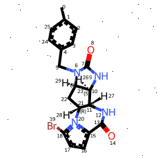 Cc1ccc(CN2C(=O)N[C@H]3[C@@H]4NC(=O)c5ccc(Br)n5[C@@H]4C[C@H]32)cc1